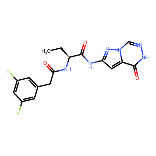 CC[C@H](NC(=O)Cc1cc(F)cc(F)c1)C(=O)Nc1cc2c(=O)[nH]ncn2n1